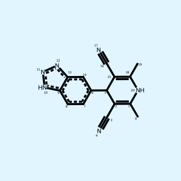 CC1=C(C#N)C(c2ccc3[nH]nnc3c2)C(C#N)=C(C)N1